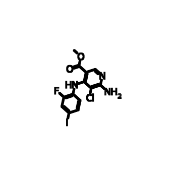 COC(=O)c1cnc(N)c(Cl)c1Nc1ccc(I)cc1F